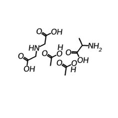 CC(=O)O.CC(=O)O.CC(N)C(=O)O.O=C(O)CNCC(=O)O